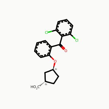 O=C(c1ccccc1O[C@H]1CC[C@H](C(=O)O)C1)c1c(Cl)cccc1Cl